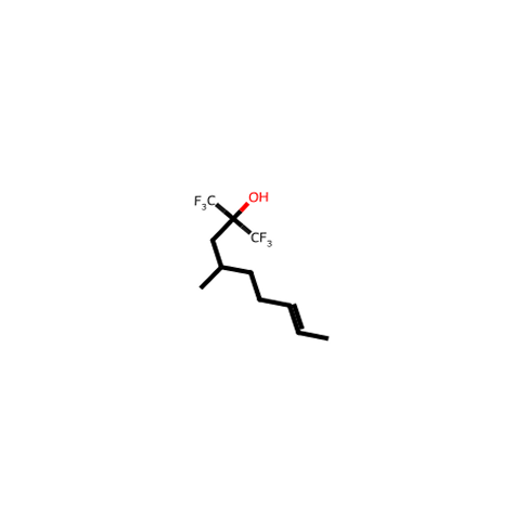 CC=CCCC(C)CC(O)(C(F)(F)F)C(F)(F)F